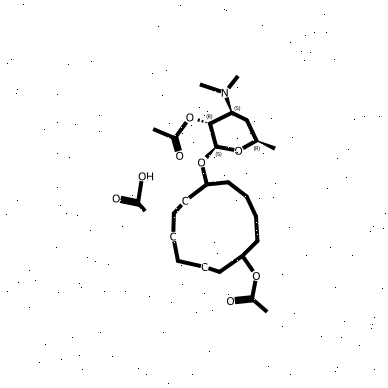 CC(=O)O.CC(=O)OC1CCCCCCC(O[C@@H]2O[C@H](C)C[C@H](N(C)C)[C@H]2OC(C)=O)CCCC1